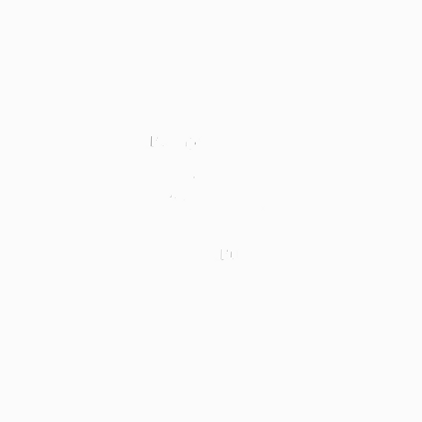 CC(CC(=O)OC(C)(C)C)CC(C)(C)C